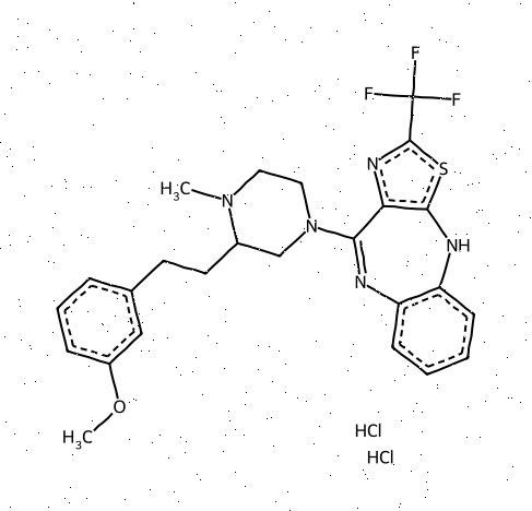 COc1cccc(CCC2CN(C3=Nc4ccccc4Nc4sc(C(F)(F)F)nc43)CCN2C)c1.Cl.Cl